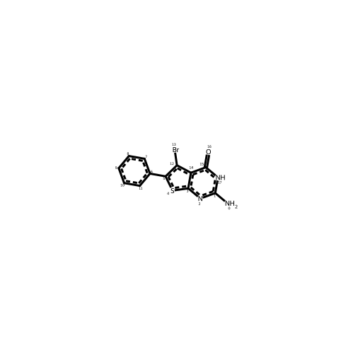 Nc1nc2sc(-c3ccccc3)c(Br)c2c(=O)[nH]1